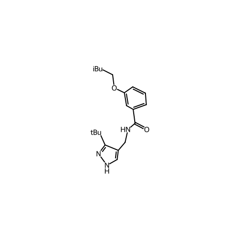 CCC(C)COc1cccc(C(=O)NCc2c[nH]nc2C(C)(C)C)c1